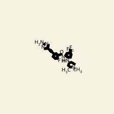 CC1CC(Nc2ccc(C(F)(F)F)cc2NC(=O)c2cc(C#Cc3cnc(N)nc3)ccc2F)CCN1C